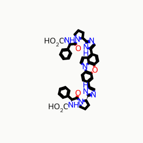 O=C(O)NC(C(=O)N1CCCC1c1ncc(-c2ccc3c4c2ccn4-c2ccc(-c4cnc([C@@H]5CCCN5C(=O)[C@H](NC(=O)O)c5ccccc5)[nH]4)cc2O3)[nH]1)c1ccccc1